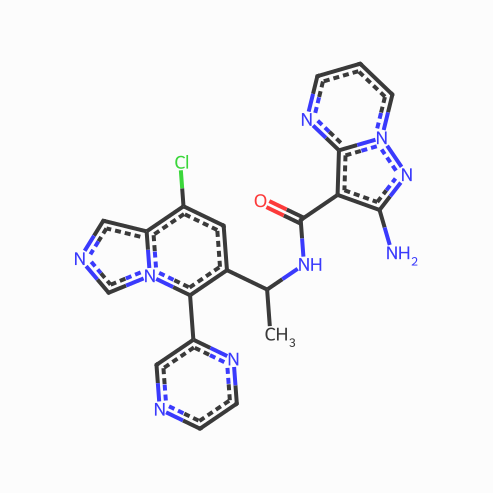 CC(NC(=O)c1c(N)nn2cccnc12)c1cc(Cl)c2cncn2c1-c1cnccn1